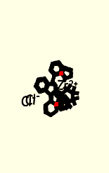 CC12C(=C3Cc4ccccc4C3=C3C=CCCC31)[C](C)([Zr+2]([C]1=CC=CC1)=[C](Cc1ccccc1)Cc1ccccc1)C(C)(C)C(C)(C)C2(C)C.[Cl-].[Cl-]